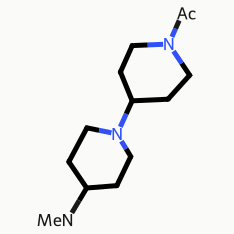 CNC1CCN(C2CCN(C(C)=O)CC2)CC1